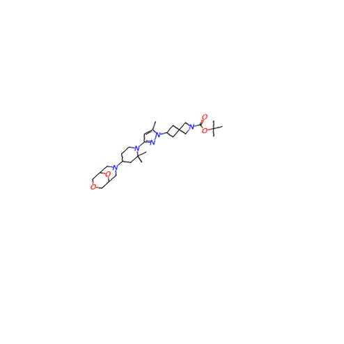 Cc1cc(N2CCC(N3CC4COCC(C3)O4)CC2(C)C)nn1C1CC2(C1)CN(C(=O)OC(C)(C)C)C2